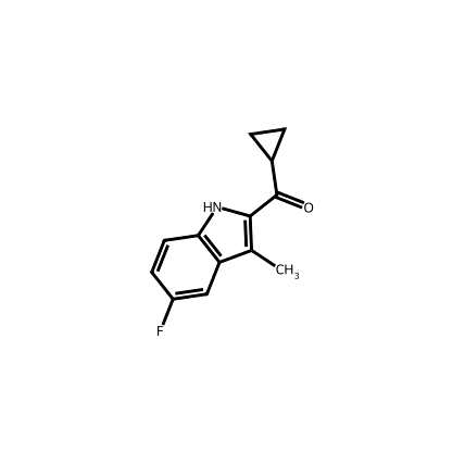 Cc1c(C(=O)C2CC2)[nH]c2ccc(F)cc12